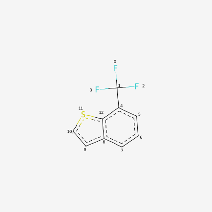 FC(F)(F)c1cccc2c[c]sc12